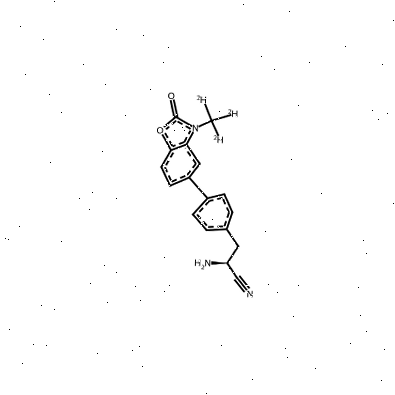 [2H]C([2H])([2H])n1c(=O)oc2ccc(-c3ccc(C[C@H](N)C#N)cc3)cc21